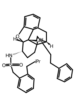 CC(C)Cc1ccccc1CS(=O)(=O)N[C@H]1CC[C@@]2(O)[C@H]3Cc4cccc5c4[C@@]2(CCN3CCc2ccccc2)[C@H]1O5